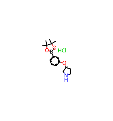 CC1(C)OB(c2cccc(O[C@@H]3CCNC3)c2)OC1(C)C.Cl